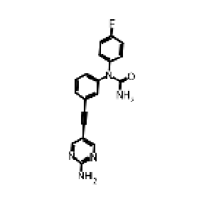 NC(=O)N(c1ccc(F)cc1)c1cccc(C#Cc2cnc(N)nc2)c1